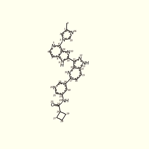 Cc1cn(-c2nccc3[nH]c(-c4n[nH]c5ccc(-c6cncc(NC(=O)C7CCC7)c6)nc45)nc23)cn1